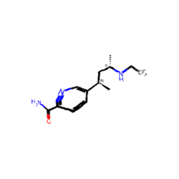 C[C@H](C[C@H](C)NCC(F)(F)F)c1ccc(C(N)=O)nc1